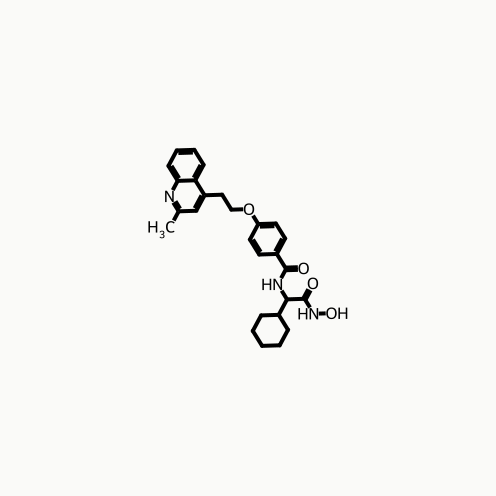 Cc1cc(CCOc2ccc(C(=O)NC(C(=O)NO)C3CCCCC3)cc2)c2ccccc2n1